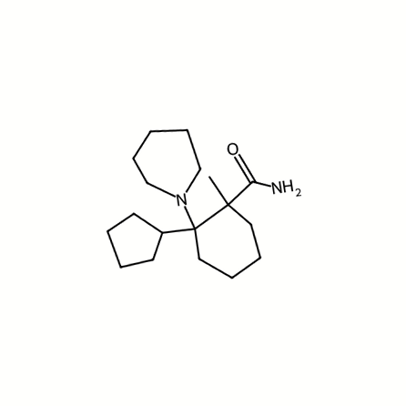 CC1(C(N)=O)CCCCC1(C1CCCC1)N1CCCCC1